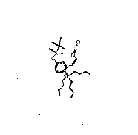 CCC[CH2][Sn]([CH2]CCC)([CH2]CCC)[c]1ccc(O[Si](C)(C)C(C)(C)C)cc1C=CN=C=O